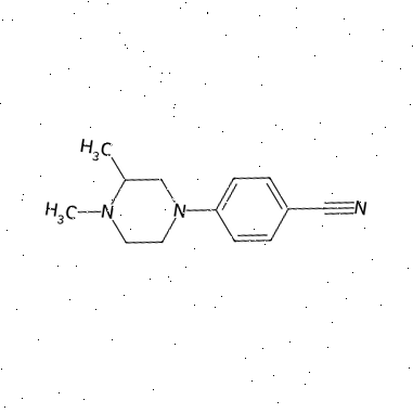 CC1CN(c2ccc(C#N)cc2)CCN1C